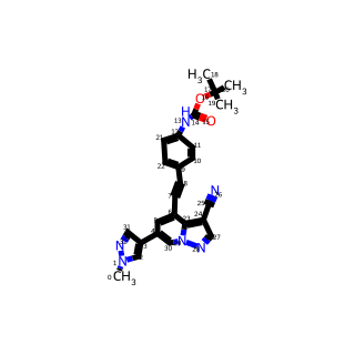 Cn1cc(-c2cc(C#Cc3ccc(NC(=O)OC(C)(C)C)cc3)c3c(C#N)cnn3c2)cn1